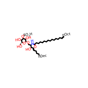 CCCCCCCC/C=C\CCCCCCCCCCCCCC(=O)NC(CO[C@@H]1O[C@H](CO)[C@H](O)C(OS(=O)(=O)O)C1O)C(O)/C=C/CCCCCCCCCCCCC